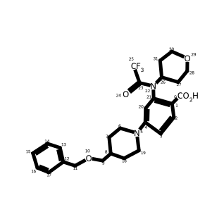 O=C(O)c1ccc(N2CCC(COCc3ccccc3)CC2)cc1N(C(=O)C(F)(F)F)C1CCOCC1